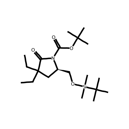 CCC1(CC)C[C@H](CO[Si](C)(C)C(C)(C)C)N(C(=O)OC(C)(C)C)C1=O